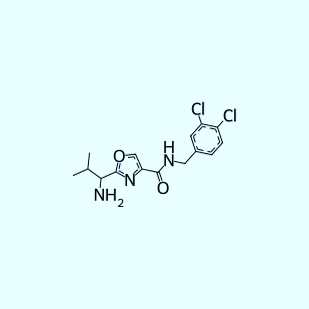 CC(C)C(N)c1nc(C(=O)NCc2ccc(Cl)c(Cl)c2)co1